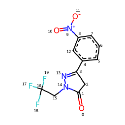 O=C1CC(c2cccc([N+](=O)[O-])c2)=NN1CC(F)(F)F